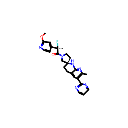 COc1cc([C@@](C)(F)C(=O)N2CC[C@@]3(CCc4cc(-c5ncccn5)c(C)nc4N3)C2)ccn1